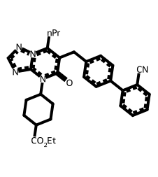 CCCc1c(Cc2ccc(-c3ccccc3C#N)cc2)c(=O)n(C2CCC(C(=O)OCC)CC2)c2ncnn12